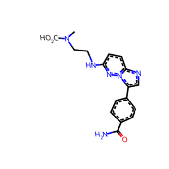 CN(CCNc1ccc2ncc(-c3ccc(C(N)=O)cc3)n2n1)C(=O)O